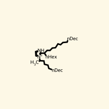 CCCCCCCCCCCCCCCCCCC(CCCCCC)c1[nH]cc[n+]1C(C)CCCCCCCCCCCCCC